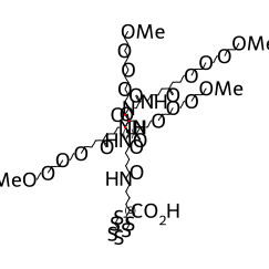 COCCOCCOCCOCCCC(=O)CCCNC(=O)CN(CCOCCOCCOCCOC)C(=O)CC[C@H](NC(=O)CCCC(=O)NCCCC[C@@H](C(=O)O)C1SSC2(SS1)SS2)C(=O)N(CCOCCOCCOCCOC)CC(=O)NCCCC(=O)CCCOCCOCCOCCOC